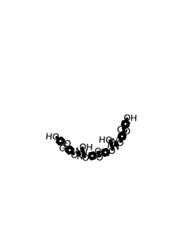 O=S(=O)(c1ccc(O)cc1)c1ccc(Oc2nc(O)nc(Oc3ccc(S(=O)(=O)c4ccc(Oc5nc(O)nc(Oc6ccc(S(=O)(=O)c7ccc(O)cc7)cc6)n5)cc4)cc3)n2)cc1